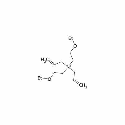 C=CC[N+](CC=C)(CCOCC)CCOCC